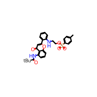 Cc1ccc(S(=O)(=O)OCCNc2ccccc2-c2cc(=O)c3c(NC(=O)C(C)(C)C)cccc3o2)cc1